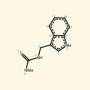 CNC(=S)NCc1c[nH]c2ccccc12